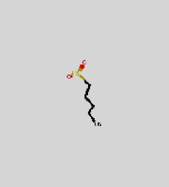 N#CCCCC[SH](=O)=O